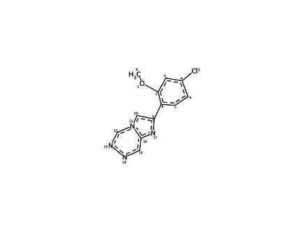 COc1cc(Cl)ccc1-c1cn2cnncc2n1